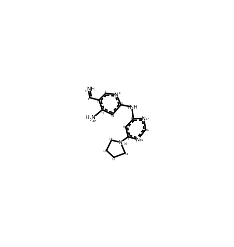 N=Cc1cnc(Nc2cc(N3CCCC3)ncn2)cc1N